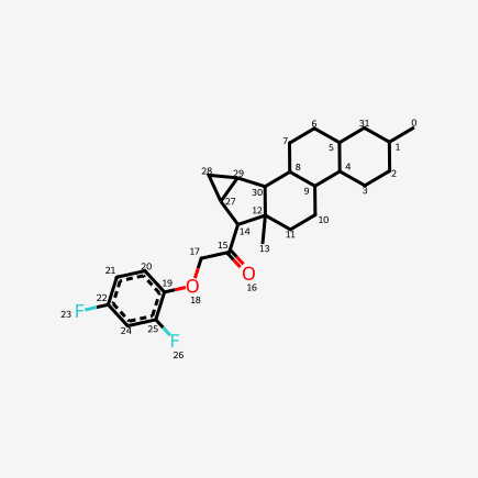 CC1CCC2C(CCC3C2CCC2(C)C(C(=O)COc4ccc(F)cc4F)C4CC4C32)C1